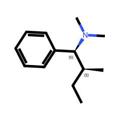 CC[C@H](C)[C@@H](c1ccccc1)N(C)C